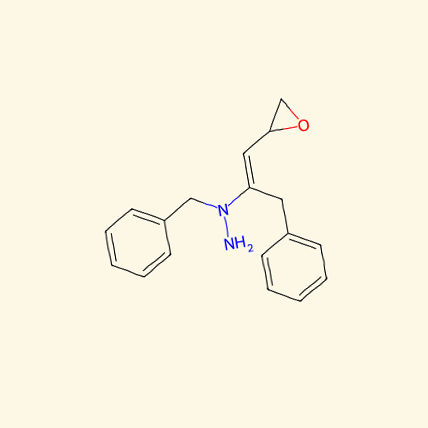 NN(Cc1ccccc1)C(=CC1CO1)Cc1ccccc1